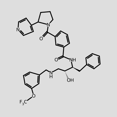 O=C(N[C@@H](Cc1ccccc1)[C@H](O)CNCc1cccc(OC(F)(F)F)c1)c1cccc(C(=O)N2CCCC2c2ccncc2)c1